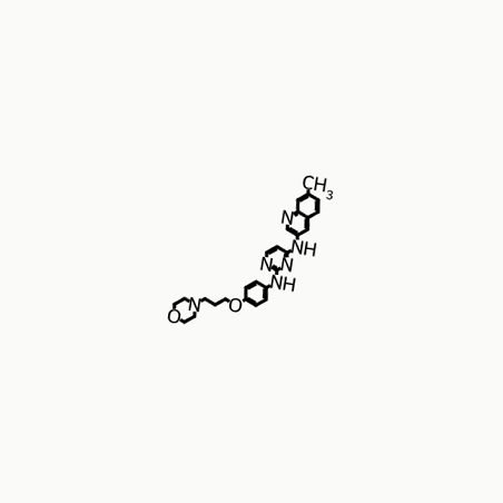 Cc1ccc2cc(Nc3ccnc(Nc4ccc(OCCCN5CCOCC5)cc4)n3)cnc2c1